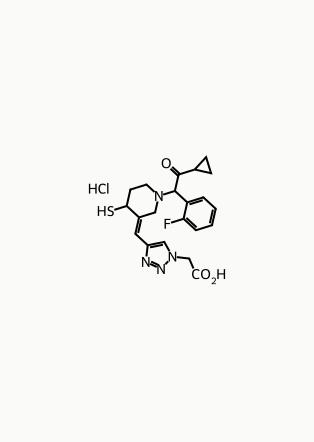 Cl.O=C(O)Cn1cc(/C=C2\CN(C(C(=O)C3CC3)c3ccccc3F)CCC2S)nn1